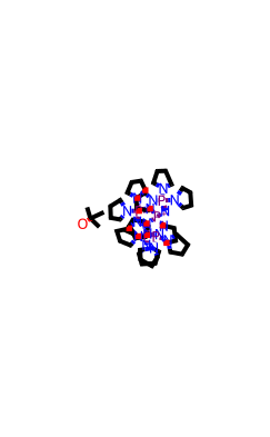 C1CCN(P(=N[P+](N=P(N2CCCC2)(N2CCCC2)N2CCCC2)(N=P(N2CCCC2)(N2CCCC2)N2CCCC2)N=P(N2CCCC2)(N2CCCC2)N2CCCC2)(N2CCCC2)N2CCCC2)C1.CC(C)(C)[O-]